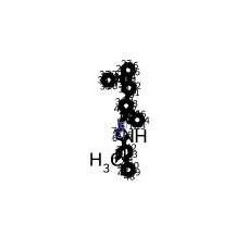 CN1C=C(C(=N)/C=C\C=C\n2c3ccccc3c3cc(-c4ccc5c6ccccc6n(-c6ccccc6)c5c4)ccc32)C=CC1c1ccccc1